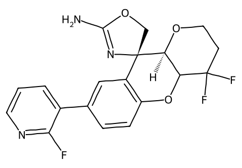 NC1=N[C@@]2(CO1)c1cc(-c3cccnc3F)ccc1OC1[C@@H]2OCCC1(F)F